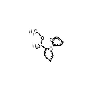 [SiH3]O[SiH2]c1ccco1.c1ccoc1